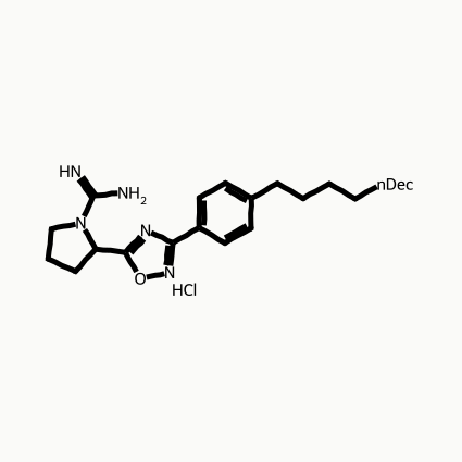 CCCCCCCCCCCCCCc1ccc(-c2noc(C3CCCN3C(=N)N)n2)cc1.Cl